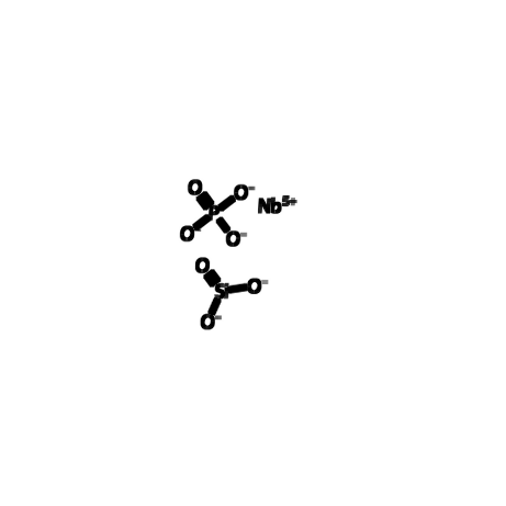 O=P([O-])([O-])[O-].O=[Si]([O-])[O-].[Nb+5]